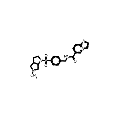 CN1CC2CCN(S(=O)(=O)c3ccc(CNC(=O)c4ccc5nccn5c4)cc3)C2C1